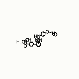 CN(C)C(=O)c1ccc(-c2cccc3nc(Nc4ccc(OCCN5CCCC5)cc4)nn23)cc1